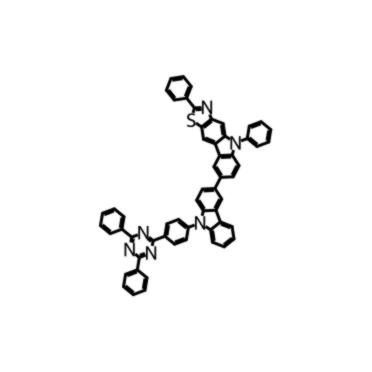 c1ccc(-c2nc(-c3ccccc3)nc(-c3ccc(-n4c5ccccc5c5cc(-c6ccc7c(c6)c6cc8sc(-c9ccccc9)nc8cc6n7-c6ccccc6)ccc54)cc3)n2)cc1